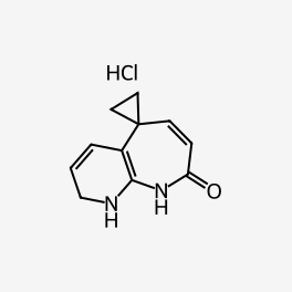 Cl.O=C1C=CC2(CC2)C2=C(NCC=C2)N1